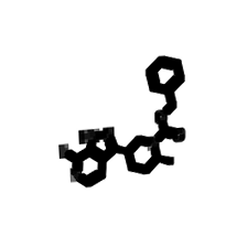 C[C@H]1CC[C@@H](c2n[nH]c3c(F)nccc23)CN1C(=O)OCc1ccccc1